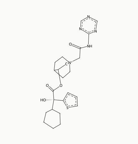 O=C(C[N+]12CCC(CC1)C(OC(=O)[C@@](O)(c1cccs1)C1CCCCC1)C2)Nc1ncncn1